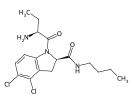 CCCCNC(=O)[C@H]1Cc2c(ccc(Cl)c2Cl)N1C(=O)[C@@H](N)CC